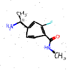 CNC(=O)c1ccc([C@H](C)N)cc1F